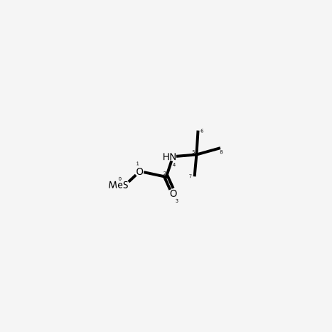 CSOC(=O)NC(C)(C)C